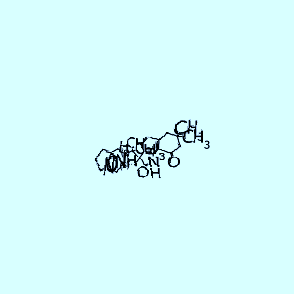 CC1(C)CC(=O)c2c(ccc3c2NC(=O)C32C[C@@]34CN5CCCC5(C[C@H]3C2(C)C)C(=O)N4)C1